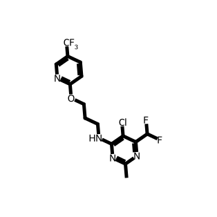 Cc1nc(NCCCOc2ccc(C(F)(F)F)cn2)c(Cl)c(C(F)F)n1